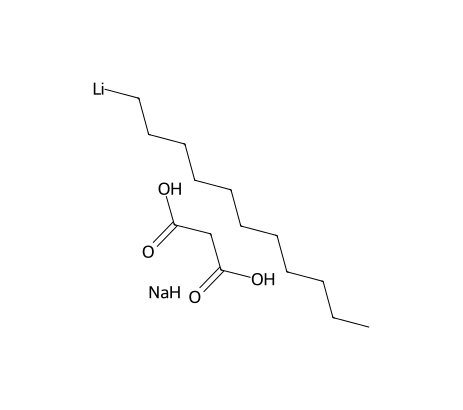 O=C(O)CC(=O)O.[Li][CH2]CCCCCCCCCC.[NaH]